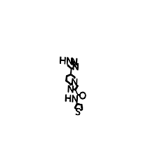 O=C(Nc1ccsc1)c1cn2cc(-c3c[nH]nn3)ccc2n1